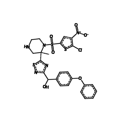 CC1(c2nc(C(O)c3ccc(Oc4ccccc4)cc3)ns2)CNCCN1S(=O)(=O)c1cc([N+](=O)[O-])c(Cl)s1